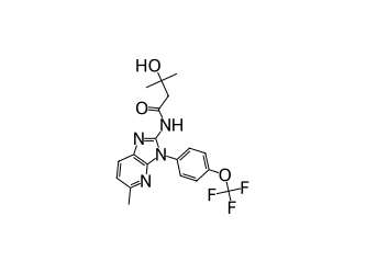 Cc1ccc2nc(NC(=O)CC(C)(C)O)n(-c3ccc(OC(F)(F)F)cc3)c2n1